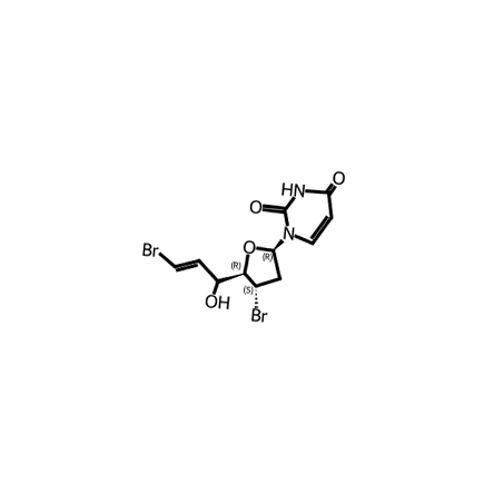 O=c1ccn([C@H]2C[C@H](Br)[C@@H](C(O)C=CBr)O2)c(=O)[nH]1